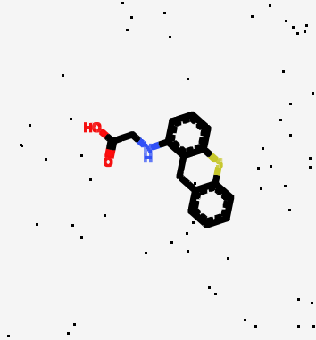 O=C(O)CNc1cccc2c1Cc1ccccc1S2